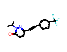 CC(C)n1nc(C#Cc2ccc(C(F)(F)F)cc2)ccc1=O